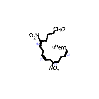 CCCCC/C=C\C/C=C(\C/C=C\C/C=C(\CCC[C]=O)[N+](=O)[O-])[N+](=O)[O-]